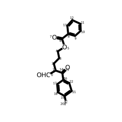 O=CC(CCCOC(=O)c1ccccc1)C(=O)c1ccc(F)cc1